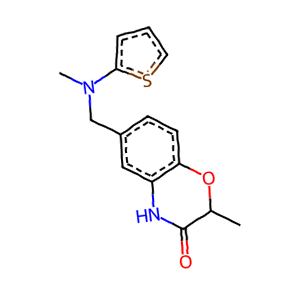 CC1Oc2ccc(CN(C)c3cccs3)cc2NC1=O